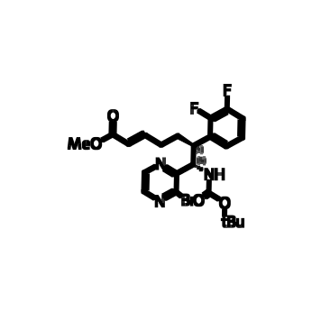 COC(=O)C=CCC[C@@H](c1cccc(F)c1F)[C@H](NC(=O)OC(C)(C)C)c1nccnc1Br